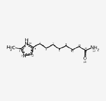 Cc1n[c]c(CCCCCCCC(N)=O)[nH]1